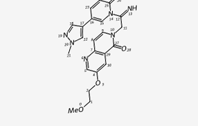 COCCOc1cnc2ccn(CC(=N)n3cc(-c4cnn(C)c4)ccc3=N)c(=O)c2c1